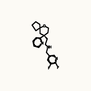 Fc1cc(CNCC[C@]2(c3ccccn3)CCOC3(CCCC3)C2)cnc1F